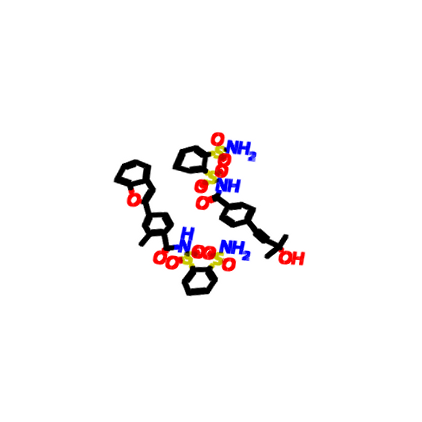 CC(C)(O)C#Cc1ccc(C(=O)NS(=O)(=O)c2ccccc2S(N)(=O)=O)cc1.Cc1cc(-c2cc3ccccc3o2)ccc1C(=O)NS(=O)(=O)c1ccccc1S(N)(=O)=O